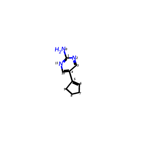 Nc1ncc(C2=CCCC2)cn1